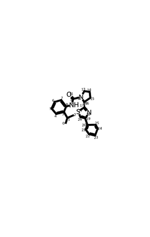 CC(C)c1ccccc1NC(=O)N1CCC[C@H]1c1nc(-c2ccccc2)cs1